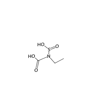 CCN(C(=O)O)S(=O)O